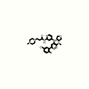 CN1CCN(CCC(=O)Nc2cc(Nc3cc(-c4cc(Cl)ccc4F)nnc3N(C)[C@@H]3CCOC3)ccn2)CC1